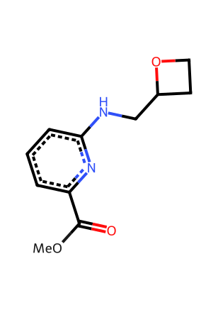 COC(=O)c1cccc(NCC2CCO2)n1